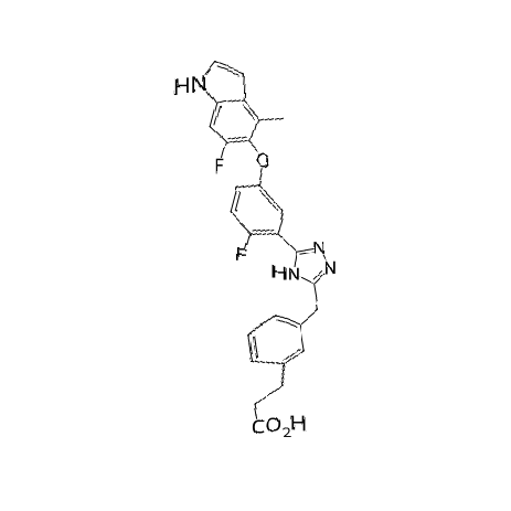 Cc1c(Oc2ccc(F)c(-c3nnc(Cc4cccc(CCC(=O)O)c4)[nH]3)c2)c(F)cc2[nH]ccc12